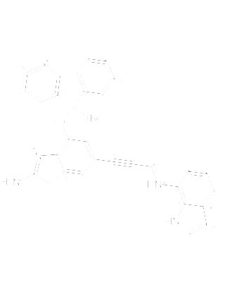 CC(C)(C)[Si](Oc1cc(C#CCNc2cccc3cc[nH]c23)cc2sc(N)nc12)(c1ccccc1)c1ccccc1